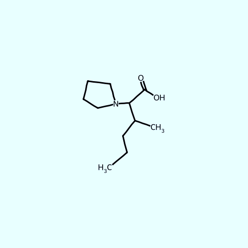 CCCC(C)C(C(=O)O)N1CCCC1